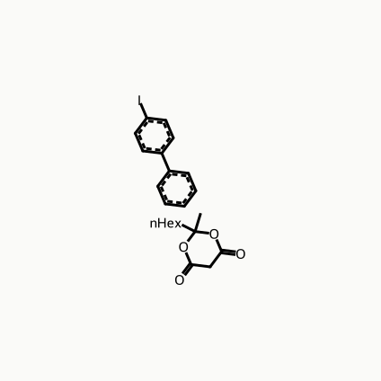 CCCCCCC1(C)OC(=O)CC(=O)O1.Ic1ccc(-c2ccccc2)cc1